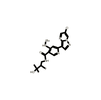 CC(C)(C)Nc1cc(-c2cnn3cc(Cl)cnc23)ncc1C(=O)NCC(F)C(C)(C)O